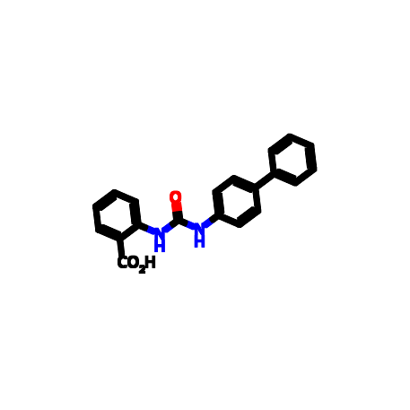 O=C(Nc1ccc(-c2ccccc2)cc1)Nc1ccccc1C(=O)O